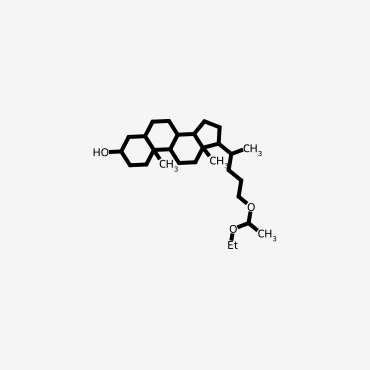 CCOC(C)OCCCC(C)C1CCC2C3CCC4CC(O)CCC4(C)C3CCC12C